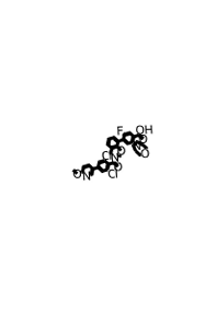 COc1ccc(-c2cc(Cl)c(C(=O)N3COc4c(cccc4-c4cc(N5C6CCC5COC6)c(C(=O)O)cc4F)C3)c(Cl)c2)cn1